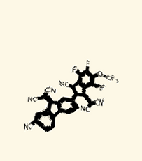 N#CC(C#N)=C1c2cc(C#N)ccc2-c2ccc(C3=C(C#N)c4c(F)c(F)c(OC(F)(F)F)c(F)c4C3=C(C#N)C#N)cc21